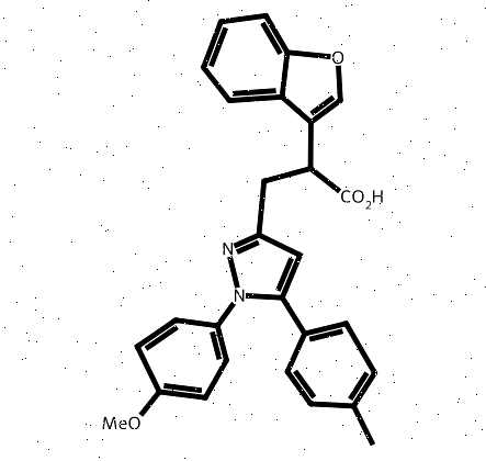 COc1ccc(-n2nc(CC(C(=O)O)c3coc4ccccc34)cc2-c2ccc(C)cc2)cc1